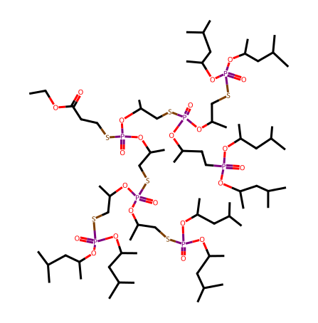 CCOC(=O)CCSP(=O)(OC(C)CSP(=O)(OC(C)CCP(=O)(OC(C)CC(C)C)OC(C)CC(C)C)OC(C)CSP(=O)(OC(C)CC(C)C)OC(C)CC(C)C)OC(C)CSP(=O)(OC(C)CSP(=O)(OC(C)CC(C)C)OC(C)CC(C)C)OC(C)CSP(=O)(OC(C)CC(C)C)OC(C)CC(C)C